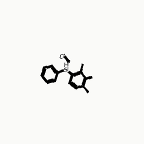 Cc1ccc([SiH](CCl)c2ccccc2)c(C)c1C